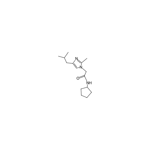 Cc1nc(CC(C)C)cn1CC(=O)NC1CCCC1